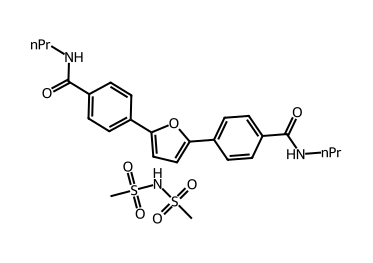 CCCNC(=O)c1ccc(-c2ccc(-c3ccc(C(=O)NCCC)cc3)o2)cc1.CS(=O)(=O)NS(C)(=O)=O